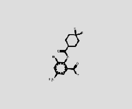 CCC(=O)c1cc(C)cc(Br)c1OC(=O)C1CCC(F)(F)CC1